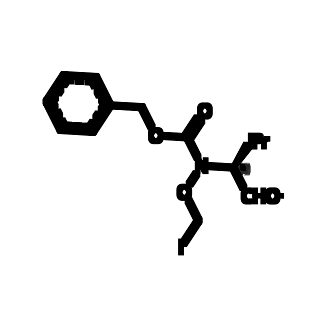 CC(C)[C@@H]([C]=O)N(OCI)C(=O)OCc1ccccc1